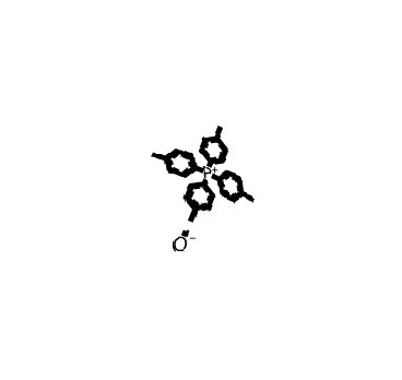 C[O-].Cc1ccc([P+](c2ccc(C)cc2)(c2ccc(C)cc2)c2ccc(C)cc2)cc1